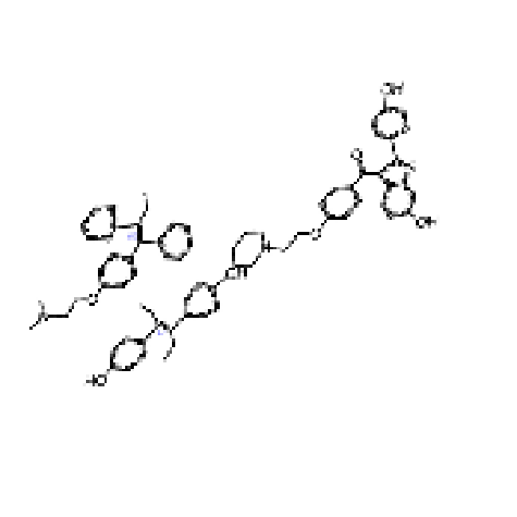 CC/C(=C(/CC)c1ccc(O)cc1)c1ccc(O)cc1.CC/C(=C(\c1ccccc1)c1ccc(OCCN(C)C)cc1)c1ccccc1.O=C(c1ccc(OCCN2CCCCC2)cc1)c1c(-c2ccc(O)cc2)sc2cc(O)ccc12